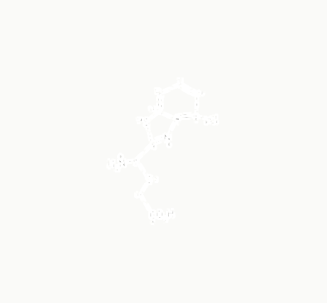 NC(SCC(=O)O)c1nc2c(Cl)cccc2s1